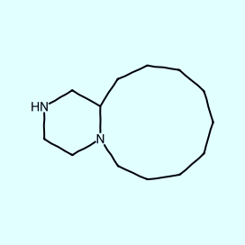 C1CCCCC2CNCCN2CCCC1